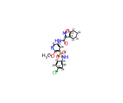 COc1ncc(NC(=O)c2noc3c2CCCC3)cc1S(=O)(=O)Nc1ccc(Cl)cc1